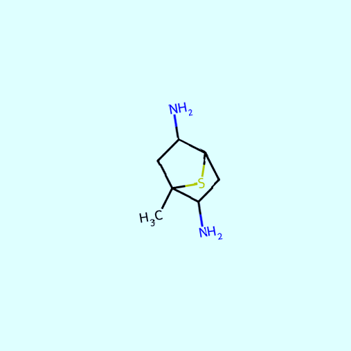 CC12CC(N)C(CC1N)S2